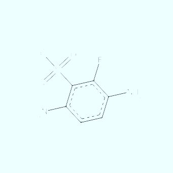 CCc1c(N)ccc(N)c1S(C)(=O)=O